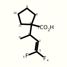 CC(C=C(F)F)C1(C(=O)O)CCCC1